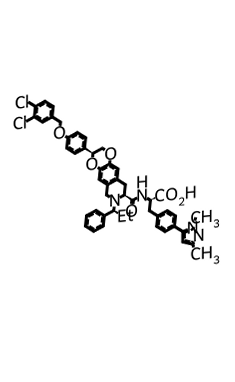 CC[C@@H](c1ccccc1)N1Cc2cc3c(cc2C[C@H]1C(=O)N[C@@H](Cc1ccc(-c2cc(C)nn2C)cc1)C(=O)O)OC[C@H](c1ccc(OCc2ccc(Cl)c(Cl)c2)cc1)O3